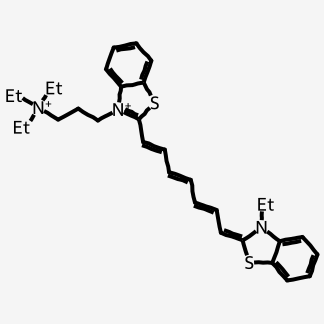 CCN1\C(=C/C=C/C=C/C=C/c2sc3ccccc3[n+]2CCC[N+](CC)(CC)CC)Sc2ccccc21